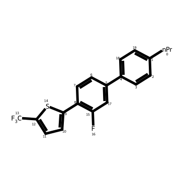 CCCc1ccc(-c2ccc(-c3ccc(C(F)(F)F)s3)c(F)c2)cc1